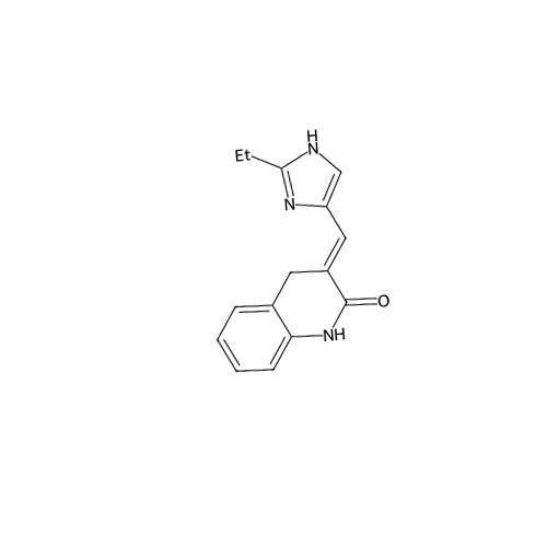 CCc1nc(/C=C2\Cc3ccccc3NC2=O)c[nH]1